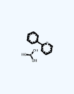 OB(O)O.c1ccc(-c2ccccn2)cc1